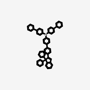 C1=C(c2ccc(-c3ccc(N(c4ccc(-c5ccccc5)cc4)c4ccc(-c5ccccc5)cc4)cc3)cc2)C(c2ccccc2)(c2ccccc2)c2ccccc21